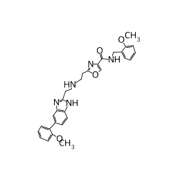 COc1ccccc1CNC(=O)c1coc(CCNCCc2nc3cc(-c4ccccc4OC)ccc3[nH]2)n1